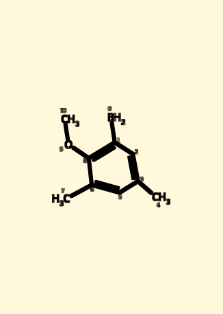 Bc1cc(C)cc(C)c1OC